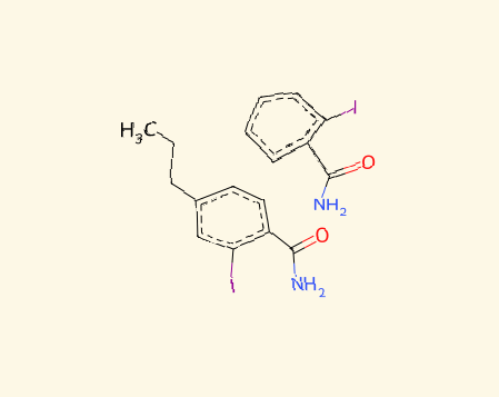 CCCc1ccc(C(N)=O)c(I)c1.NC(=O)c1ccccc1I